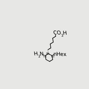 CCCCCC[C@H]1CCC[C@H](N)[C@@H]1CCCCCCC(=O)O